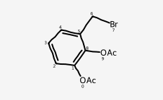 CC(=O)Oc1cccc(CBr)c1OC(C)=O